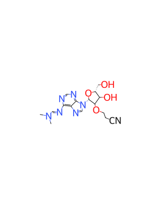 CN(C)/C=N/c1ncnc2c1ncn2[C@@H]1O[C@H](CO)C(O)C1OCCC#N